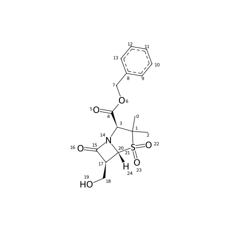 CC1(C)[C@H](C(=O)OCc2ccccc2)N2C(=O)[C@H](CO)[C@H]2S1(=O)=O